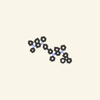 c1ccc(N(c2ccccc2)c2ccc(N(c3ccccc3)c3ccc(-c4ccc(N(c5ccccc5)c5ccc(N(c6ccccc6)c6ccc7c(c6)C6(CCCCC6)c6ccccc6-7)c6ccccc56)cc4)cc3)c3ccccc23)cc1